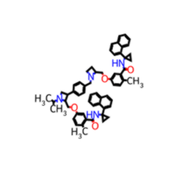 Cc1ccc(OCC2CCN2Cc2ccc(C3CN(C(C)C)C3COc3ccc(C)c(C(=O)NC4(c5cccc6ccccc56)CC4)c3)cc2)cc1C(=O)NC1(c2cccc3ccccc23)CC1